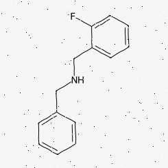 Fc1ccccc1CNCc1ccccc1